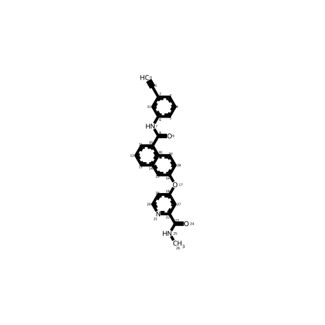 C#Cc1cccc(NC(=O)c2cccc3cc(Oc4ccnc(C(=O)NC)c4)ccc23)c1